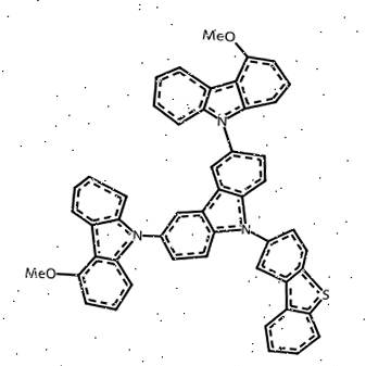 COc1cccc2c1c1ccccc1n2-c1ccc2c(c1)c1cc(-n3c4ccccc4c4c(OC)cccc43)ccc1n2-c1ccc2sc3ccccc3c2c1